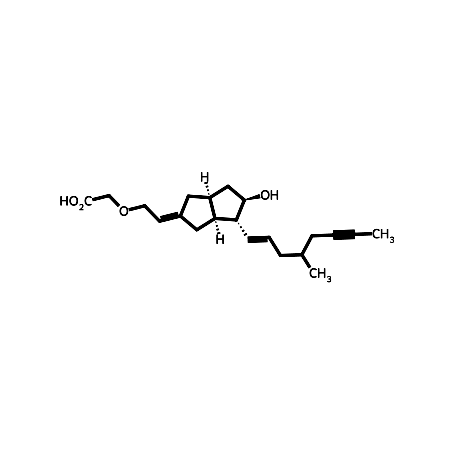 CC#CCC(C)C/C=C/[C@@H]1[C@H]2C/C(=C/COCC(=O)O)C[C@H]2C[C@H]1O